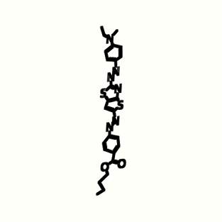 CCCCOC(=O)c1ccc(N=Nc2cc3sc(N=Nc4ccc(N(C)CC)cc4)nc3s2)cc1